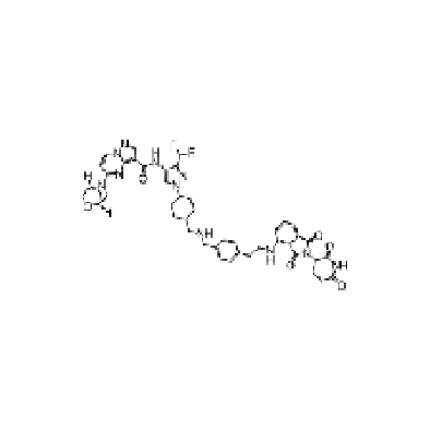 O=C1CCC(N2C(=O)c3cccc(NCCc4ccc(CNCC5CCC(n6cc(NC(=O)c7cnn8ccc(N9C[C@H]%10C[C@@H]9CO%10)nc78)c(C(F)F)n6)CC5)cc4)c3C2=O)C(=O)N1